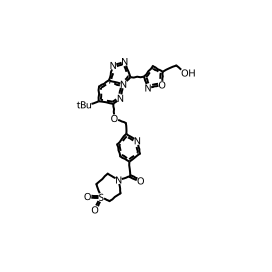 CC(C)(C)c1cc2nnc(-c3cc(CO)on3)n2nc1OCc1ccc(C(=O)N2CCS(=O)(=O)CC2)cn1